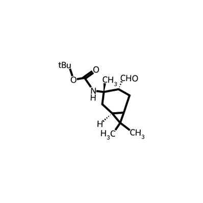 CC(C)(C)OC(=O)N[C@@]1(C)C[C@H]2C(C[C@H]1C=O)C2(C)C